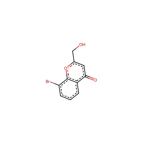 O=c1cc(CO)oc2c(Br)cccc12